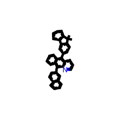 CC1(C)c2ccccc2-c2cc(-c3c4ccccc4c(-c4ccc5ccccc5c4)c4ncccc34)ccc21